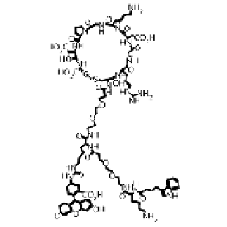 N=C(N)NCCCC1NC(O)C(NC(=O)CCOCCOCCNC(=O)C(CCCCNC(=S)Nc2ccc(-c3c4ccc(=O)cc-4oc4cc(O)ccc34)c(C(=O)O)c2)NC(=O)CCOCCOCCNC(=O)C(CCCCN)NC(=O)CCCc2c[nH]c3ccccc23)CSSCC(C(=O)O)NC(O)C(CC(=O)O)NC(=O)C2CCCN2C(=O)CNC(=O)C(CCCCN)NC(=O)C(CC(=O)O)NC(=O)CNC1=O